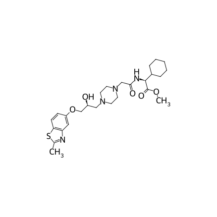 COC(=O)[C@@H](NC(=O)CN1CCN(C[C@H](O)COc2ccc3sc(C)nc3c2)CC1)C1CCCCC1